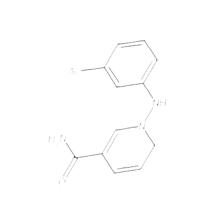 CC(=O)c1cccc(NN2C=C(C(N)=O)C=CC2)c1